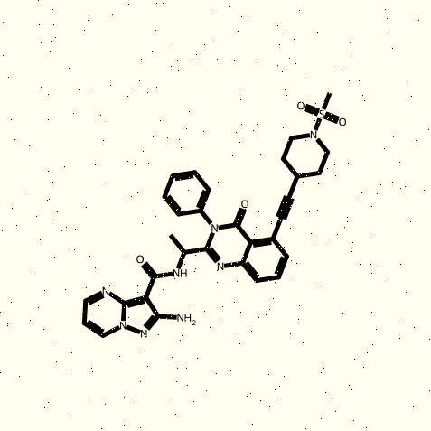 CC(NC(=O)c1c(N)nn2cccnc12)c1nc2cccc(C#CC3CCN(S(C)(=O)=O)CC3)c2c(=O)n1-c1ccccc1